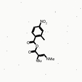 CNC=C(C(=O)OC(=O)c1ccc([N+](=O)[O-])cc1C)C(C)(C)C